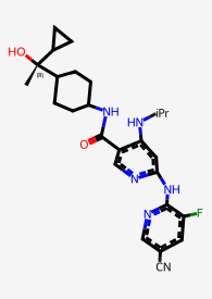 CC(C)Nc1cc(Nc2ncc(C#N)cc2F)ncc1C(=O)NC1CCC([C@](C)(O)C2CC2)CC1